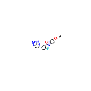 C#CCOc1ccc(NC(=O)c2cc(-c3ccc4nn[nH]c4n3)ccc2F)cc1